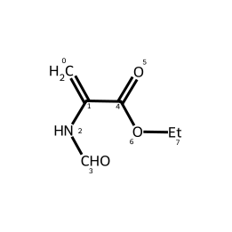 C=C(NC=O)C(=O)OCC